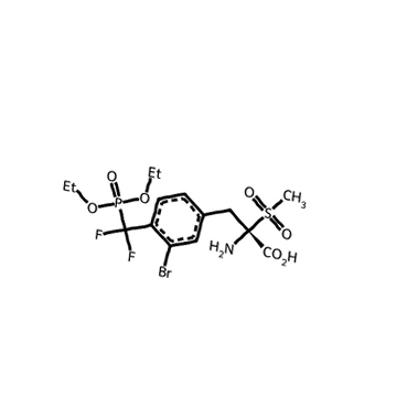 CCOP(=O)(OCC)C(F)(F)c1ccc(C[C@](N)(C(=O)O)S(C)(=O)=O)cc1Br